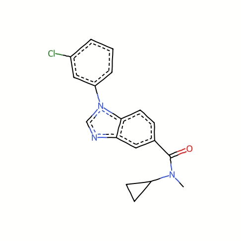 CN(C(=O)c1ccc2c(c1)ncn2-c1cccc(Cl)c1)C1CC1